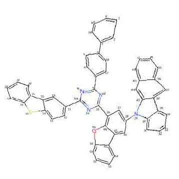 c1ccc(-c2ccc(-c3nc(-c4ccc5sc6ccccc6c5c4)nc(-c4cc(-n5c6ccccc6c6cc7ccccc7cc65)cc5c4oc4ccccc45)n3)cc2)cc1